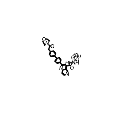 CC(C)(C)OC(=O)NNC(=O)c1cc(-c2ccc(-c3ccc(CC(=O)N4CCOCC4)cc3)cc2)nc2ccncc12